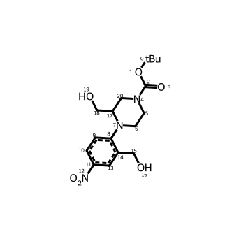 CC(C)(C)OC(=O)N1CCN(c2ccc([N+](=O)[O-])cc2CO)C(CO)C1